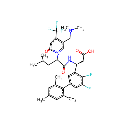 Cc1cc(C)c(-c2cc(F)c(F)c([C@H](CC(=O)O)NC(=O)C(CC(C)C)n3cc(CN(C)C)c(C(F)(F)F)cc3=O)c2)c(C)c1